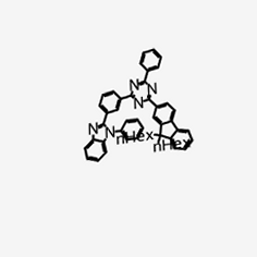 CCCCCCC1(CCCCCC)c2ccccc2-c2ccc(-c3nc(-c4ccccc4)nc(-c4cccc(-c5nc6ccccc6n5-c5ccccc5)c4)n3)cc21